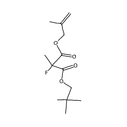 C=C(C)COC(=O)C(C)(F)C(=O)OCC(C)(C)C